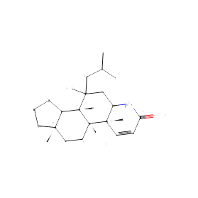 CC(C)CC1(C)CC2NC(=O)C=C[C@]2(C)[C@@H]2CC[C@]3(C)CCC[C@H]3[C@@H]21